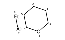 C1CCOCC1.C[CH2][Al]